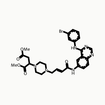 COC(=O)CC(C(=O)OC)N1CCN(CC=CC(=O)Nc2ccc3ncnc(Nc4cccc(Br)c4)c3c2)CC1